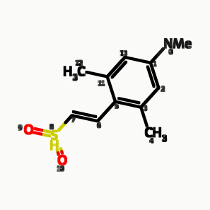 CNc1cc(C)c(/C=C/[SH](=O)=O)c(C)c1